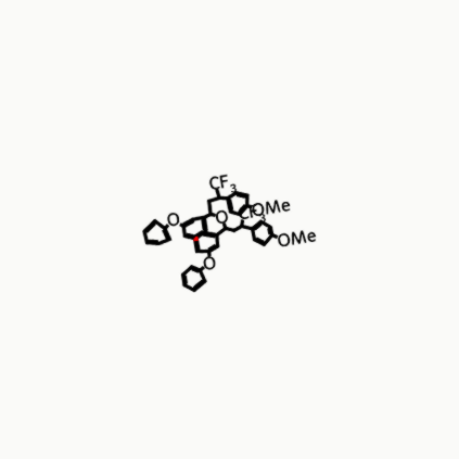 COc1ccc(C(CC(OC(CC(c2ccc(OC)cc2)C(F)(F)F)c2cccc(Oc3ccccc3)c2)c2cccc(Oc3ccccc3)c2)C(F)(F)F)cc1